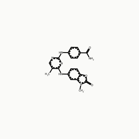 [CH2]n1c(=O)oc2ccc(Nc3nc(Nc4ccc(C(N)=O)cc4)ncc3C)cc21